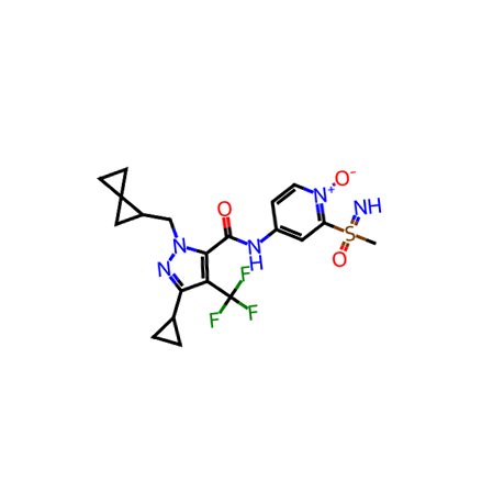 CS(=N)(=O)c1cc(NC(=O)c2c(C(F)(F)F)c(C3CC3)nn2CC2CC23CC3)cc[n+]1[O-]